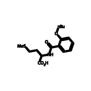 CCCCOc1ccccc1C(=O)NC(CCSC)C(=O)O